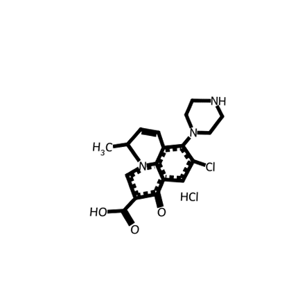 CC1C=Cc2c(N3CCNCC3)c(Cl)cc3c(=O)c(C(=O)O)cn1c23.Cl